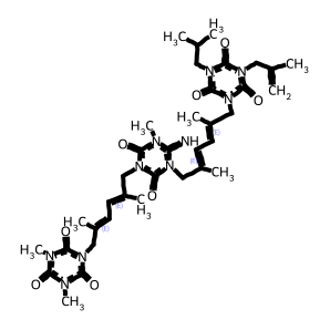 C=C(C)Cn1c(=O)n(C/C(C)=C/C=C(\C)Cn2c(=N)n(C)c(=O)n(C/C(C)=C/C=C(\C)Cn3c(=O)n(C)c(=O)n(C)c3=O)c2=O)c(=O)n(CC(C)C)c1=O